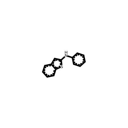 c1ccc(Nc2cc3ccccc3s2)cc1